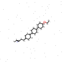 C/C=C/CCC1CCC(C2CCC(C3CCC(OCC)CC3)CC2)CC1